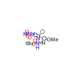 COc1ccc2c(c1)[C@H]1C[C@@]1(NC(=O)OC(C)(C)C)Cn1c-2c(C2CCCCC2)c2ccc(C(=O)NS(=O)(=O)N(C)C)cc21